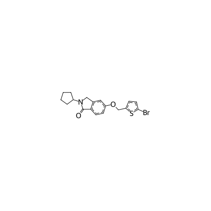 O=C1c2ccc(OCc3ccc(Br)s3)cc2CN1C1CCCC1